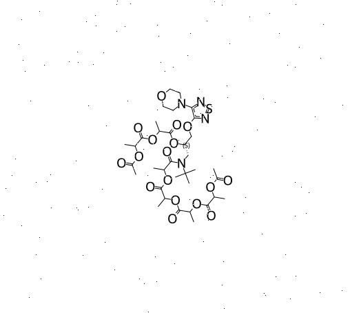 CC(=O)OC(C)C(=O)OC(C)C(=O)OC(C)C(=O)OC(C)C(=O)N(C[C@@H](COc1nsnc1N1CCOCC1)OC(=O)C(C)OC(=O)C(C)OC(C)=O)C(C)(C)C